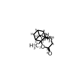 CC12OC(=O)CN=C1CC1CC2C1(C)C